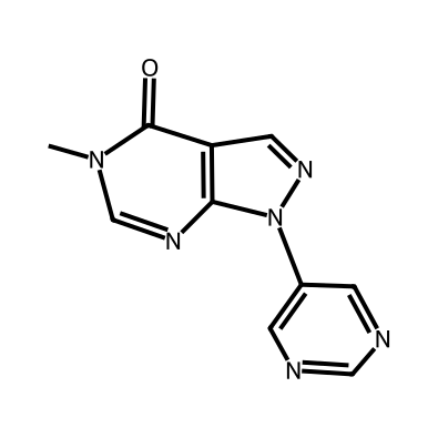 Cn1cnc2c(cnn2-c2cncnc2)c1=O